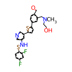 CN(CCO)Cc1cc(-c2ccc(-c3cncc(NSc4ccc(F)cc4F)c3)s2)ccc1C=O